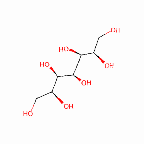 OC[C@@H](O)[C@H](O)[C@@H](O)[C@H](O)[C@@H](O)CO